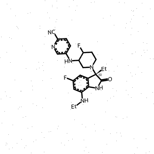 CCNc1cc(F)cc2c1NC(=O)[C@@]2(CC)N1CCC(F)C(Nc2ccc(C#N)nc2)C1